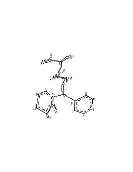 CSC(=S)N/N=C(/c1ccccc1)c1ccccn1